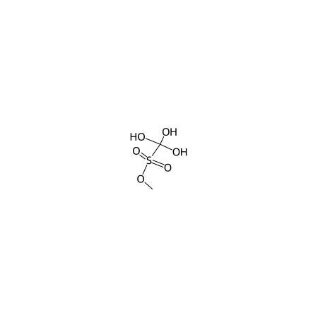 COS(=O)(=O)C(O)(O)O